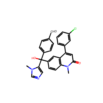 Cn1cncc1C(O)(c1ccc(C=O)cc1)c1ccc2c(c1)c(-c1cccc(Cl)c1)cc(=O)n2C